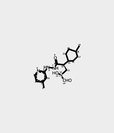 Cc1ccnc(NNC(=O)[C@H](CN(O)C=O)C2CCC(C)CC2)c1